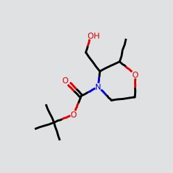 CC1OCCN(C(=O)OC(C)(C)C)C1CO